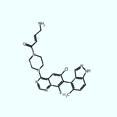 Cc1ccc2[nH]ncc2c1-c1c(Cl)cc2c(N3CCN(C(=O)/C=C/CN)CC3)ncnc2c1F